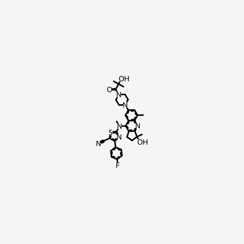 Cc1cc(N2CCN(C(=O)C(C)(C)O)CC2)cc2c(N(C)c3nc(-c4ccc(F)cc4)c(C#N)s3)c3c(nc12)C(C)(O)CC3